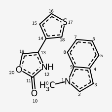 Cn1ccc2ccccc21.O=c1[nH]c(-c2ccsc2)co1